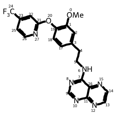 COc1cc(CCNc2ncnc3nccnc23)ccc1Oc1cc(C(F)(F)F)ccn1